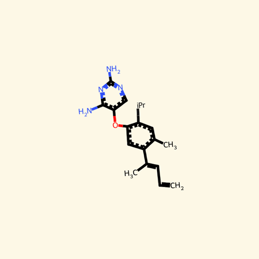 C=CC=C(C)c1cc(Oc2cnc(N)nc2N)c(C(C)C)cc1C